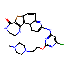 CN1CCN(CCOc2nc(F)cc(NC3=CCC4C(=N3)C=Cc3sc5c(c34)NCCNC5=O)n2)CC1